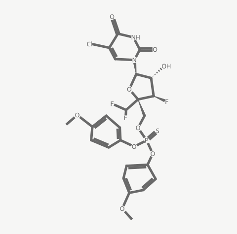 COc1ccc(OP(=S)(OC[C@@]2(C(F)F)O[C@@H](n3cc(Cl)c(=O)[nH]c3=O)[C@H](O)[C@H]2F)Oc2ccc(OC)cc2)cc1